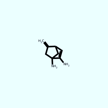 C=C1CC2(N)CC1C=C2N